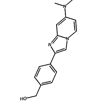 CN(C)c1ccn2cc(-c3ccc(CO)cc3)nc2c1